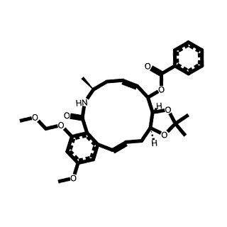 COCOc1cc(OC)cc2c1C(=O)N[C@@H](C)C/C=C\C(OC(=O)c1ccccc1)[C@H]1OC(C)(C)O[C@H]1C/C=C/2